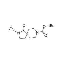 CC(C)(C)OC(=O)N1CCC2(CC1)CCN(C1CC1)C2=O